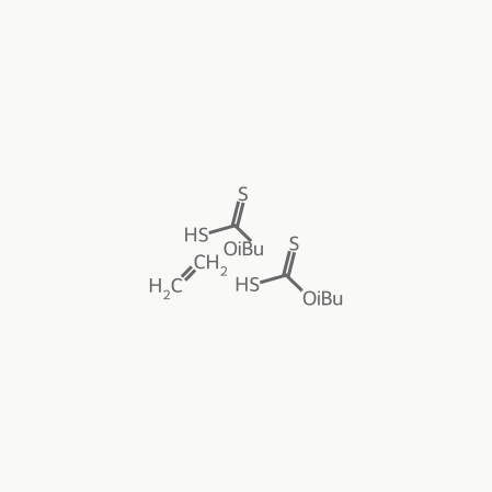 C=C.CC(C)COC(=S)S.CC(C)COC(=S)S